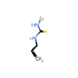 C=CCNC(=S)[NH][Cu]